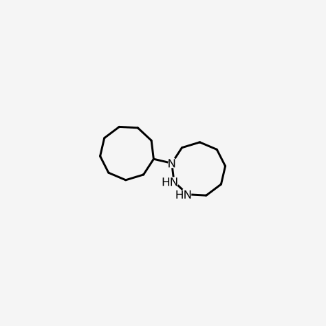 C1CCCCC(N2CCCCCCNN2)CCC1